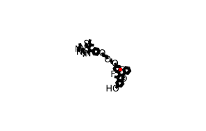 CC1=C(c2c(F)cc(OCCOCCOc3ccc(C4=N[C@@H](C)c5nnc(C)n5-c5sc(C)c(C)c54)cc3)cc2F)C(c2ccccc2)Oc2ccc(O)cc21